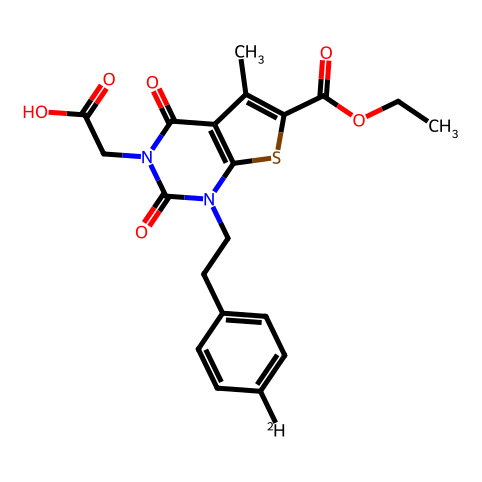 [2H]c1ccc(CCn2c(=O)n(CC(=O)O)c(=O)c3c(C)c(C(=O)OCC)sc32)cc1